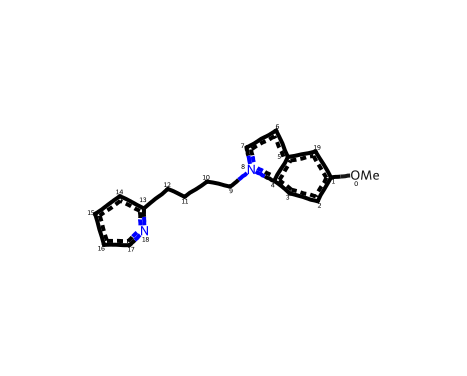 COc1ccc2c(ccn2CCCCc2ccccn2)c1